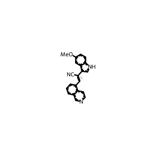 COc1ccc2[nH]cc(/C(C#N)=C/c3cccc4cnccc34)c2c1